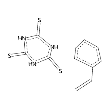 C=Cc1ccccc1.S=c1[nH]c(=S)[nH]c(=S)[nH]1